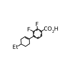 CCC1CC=C(c2ccc(C(=O)O)c(F)c2F)CC1